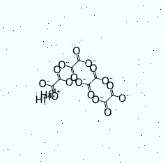 O=C([O-])C(=O)[O-].O=C([O-])C(=O)[O-].O=C([O-])C(=O)[O-].O=C([O-])C(=O)[O-].[Hf+4].[Hf+4]